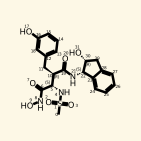 CS(=O)(=O)N[C@H](C(=O)NO)[C@@H](Cc1cccc(O)c1)C(=O)N[C@H]1c2ccccc2C[C@H]1O